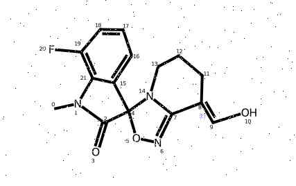 CN1C(=O)C2(ON=C3/C(=C/O)CCCN32)c2cccc(F)c21